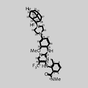 CNC(=O)c1cccc(C)c1Nc1nc(Nc2ccc(N3CCN([C@H]4C5CC6CC4C[C@H](C6)C5)CC3)cc2OC)ncc1C(F)(F)F